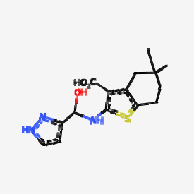 CC1(C)CCc2sc(NC(O)c3cc[nH]n3)c(C(=O)O)c2C1